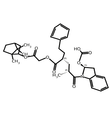 C[C@H](C[C@@H](CCc1ccccc1)C(=O)OCC(=O)OC1CC2CCC1(C)C2(C)C)C(=O)N1c2ccccc2C[C@@H]1OC(=O)O